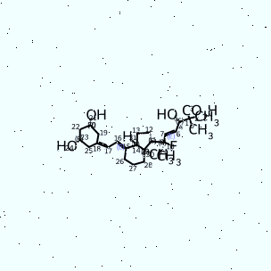 CC(C)(C(=O)O)[C@@H](O)/C=C/[C@@](C)(F)[C@H]1CC[C@H]2/C(=C/C=C3C[C@@H](O)C[C@H](O)C3)CCC[C@@]21C